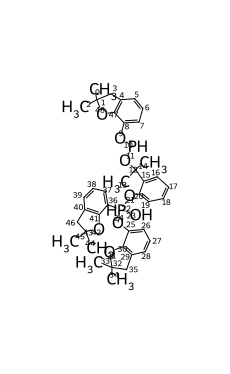 CC1(C)Cc2cccc(OPOC(C)(C)c3ccccc3O[PH](O)(Oc3cccc4c3OC(C)(C)C4)c3cccc4c3OC(C)(C)C4)c2O1